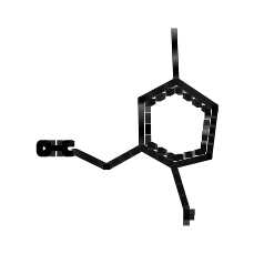 Cc1ccc(F)c(CC=O)c1